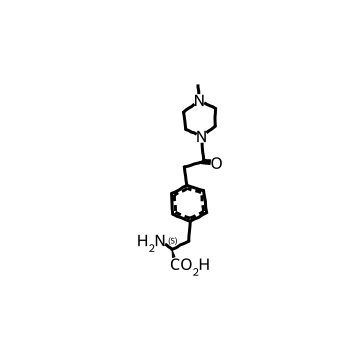 CN1CCN(C(=O)Cc2ccc(C[C@H](N)C(=O)O)cc2)CC1